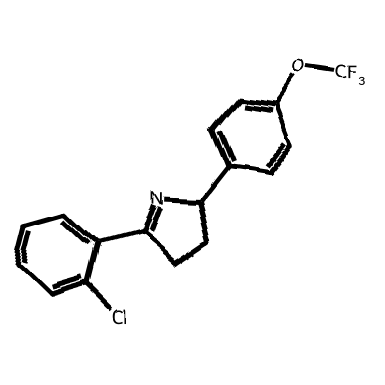 FC(F)(F)Oc1ccc(C2CCC(c3ccccc3Cl)=N2)cc1